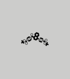 CC(C)(C)OC(=O)N1CCN(C(=O)c2ccc(N3CCN(C(=O)OC(C)(C)C)CC3)c3ccccc23)CC1